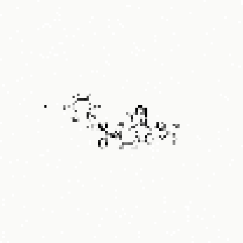 CC(C)(C)OC(=O)NC1(C=O)CCCN(C(=O)OCc2ccccc2)C1